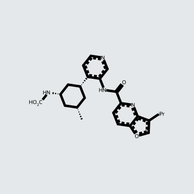 CC(C)c1coc2ccc(C(=O)Nc3cnccc3[C@@H]3C[C@H](C)C[C@H](NC(=O)O)C3)nc12